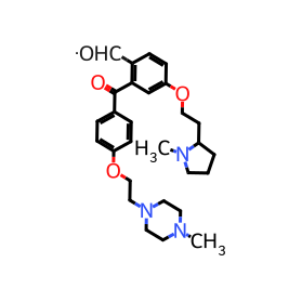 CN1CCN(CCOc2ccc(C(=O)c3cc(OCCC4CCCN4C)ccc3[C]=O)cc2)CC1